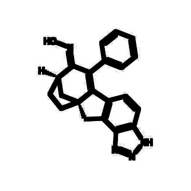 ON=C1C(c2ccccc2)=C2c3ccc4[nH]nnc4c3C[C@@]23CC[C@@H]1C3